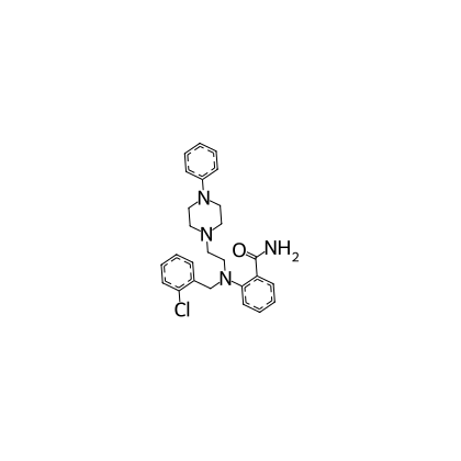 NC(=O)c1ccccc1N(CCN1CCN(c2ccccc2)CC1)Cc1ccccc1Cl